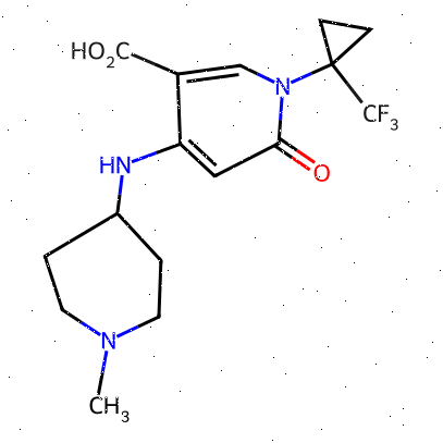 CN1CCC(Nc2cc(=O)n(C3(C(F)(F)F)CC3)cc2C(=O)O)CC1